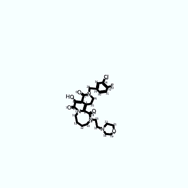 O=C1c2c(c3n(c(=O)c2O)CCCCN(CCN2CCOCC2)C3=O)CCN1Cc1ccc(F)c(Cl)c1